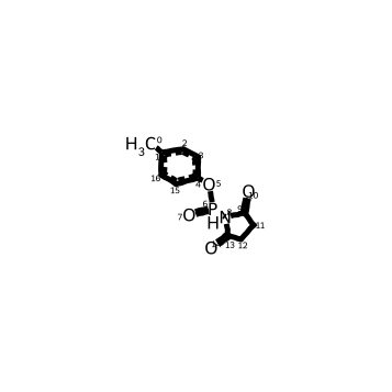 Cc1ccc(O[PH](=O)N2C(=O)CCC2=O)cc1